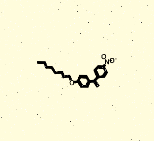 C=C(c1ccc(OCCCCCCCC)cc1)c1ccc([N+](=O)[O-])cc1